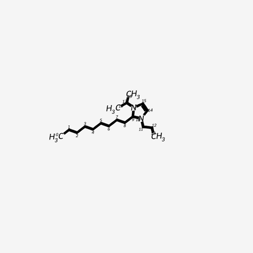 CCCCCCCCCC1N(CCC)C=CN1C(C)C